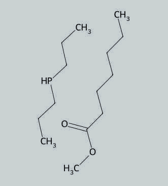 CCCCCCC(=O)OC.CCCPCCC